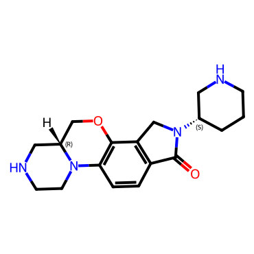 O=C1c2ccc3c(c2CN1[C@H]1CCCNC1)OC[C@H]1CNCCN31